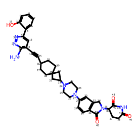 Nc1nnc(-c2ccccc2O)cc1C#CC1CCC2(CC1)CC(N1CCN(c3ccc4c(c3)CN(C3CCC(=O)NC3=O)C4=O)CC1)C2